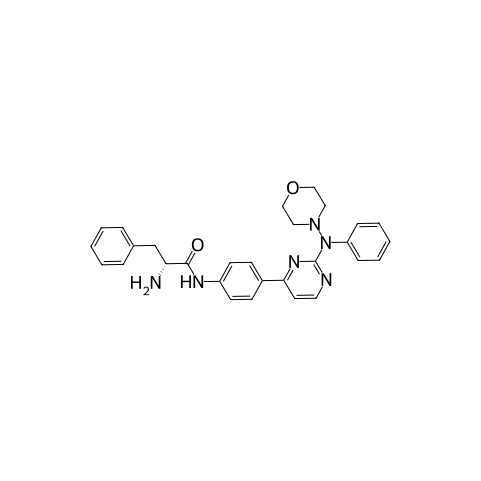 N[C@H](Cc1ccccc1)C(=O)Nc1ccc(-c2ccnc(N(c3ccccc3)N3CCOCC3)n2)cc1